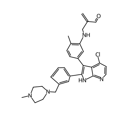 C=C(C=O)CNc1cc(-c2c(-c3cccc(CN4CCN(C)CC4)c3)[nH]c3nccc(Cl)c23)ccc1C